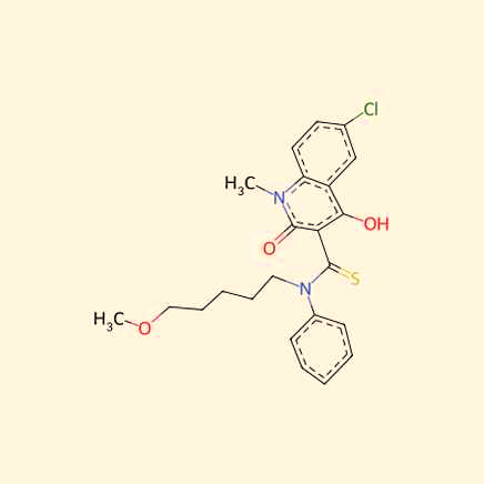 COCCCCCN(C(=S)c1c(O)c2cc(Cl)ccc2n(C)c1=O)c1ccccc1